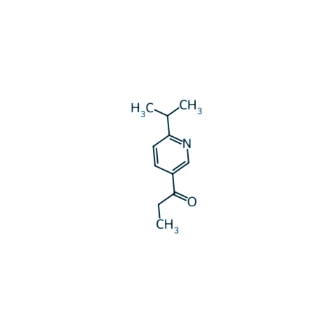 CCC(=O)c1ccc(C(C)C)nc1